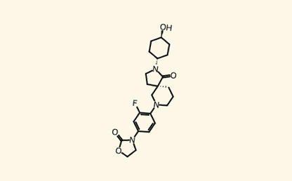 O=C1OCCN1c1ccc(N2CCC[C@@]3(CCN([C@H]4CC[C@H](O)CC4)C3=O)C2)c(F)c1